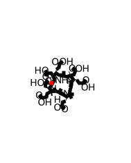 C/C1=C2/N[C@@](C)([C@@H]3N=C(/C(C)=C4N=C(/C=C5N=C1[C@@](C)(CC(=O)O)[C@@H]\5CCC(=O)O)C(C)(C)[C@@H]/4CCC(=O)O)[C@](C)(CCC(=O)O)[C@H]3CC(=O)O)[C@@](C)(CC(=O)O)[C@@H]2CCC(=O)O